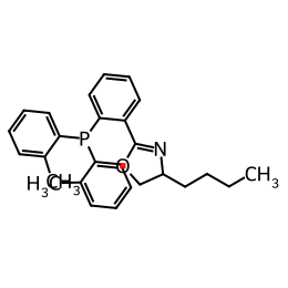 CCCCC1COC(c2ccccc2P(c2ccccc2C)c2ccccc2C)=N1